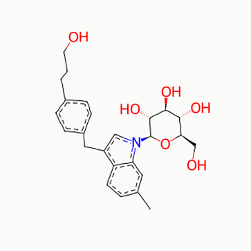 Cc1ccc2c(Cc3ccc(CCCO)cc3)cn([C@@H]3O[C@H](CO)[C@@H](O)[C@H](O)[C@H]3O)c2c1